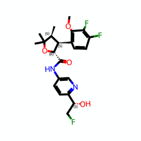 COc1c([C@H]2[C@H](C(=O)Nc3ccc([C@H](O)CF)nc3)OC(C)(C)[C@H]2C)ccc(F)c1F